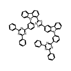 c1ccc(-c2nc(-c3ccccc3)nc(-c3cccc(-n4c5ccccc5c5cc(-c6nnc(-c7cccc8c9ccccc9n(-c9cccc(-c%10nc(-c%11ccccc%11)nc(-c%11ccccc%11)n%10)c9)c78)s6)ccc54)c3)n2)cc1